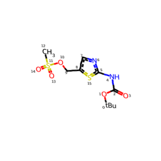 CC(C)(C)OC(=O)Nc1ncc(COS(C)(=O)=O)s1